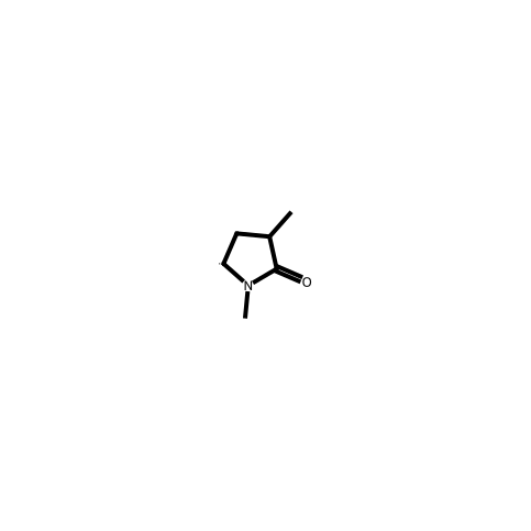 CC1C[CH]N(C)C1=O